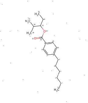 CCCCCCc1ccc(C(=O)OC(CC)C(C)C)cc1